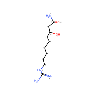 N=C(N)NCCCCCCC(O)CC(N)=O